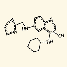 N#Cc1cnc2ccc(NCc3ccccn3)cc2c1NC1CCCCC1